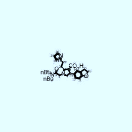 CCCCN(CCCC)C(=O)CN1C[C@H](c2ccc3c(c2)CCO3)[C@@H](C(=O)O)[C@@H]1CCn1cccn1